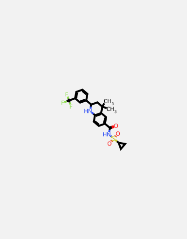 CC1(C)CC(c2cccc(C(F)(F)F)c2)Nc2ccc(C(=O)NS(=O)(=O)C3CC3)cc21